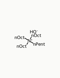 CCCCCCCC[N+](CCCCC)(CCCCCCCC)CCCCCCCC.[OH-]